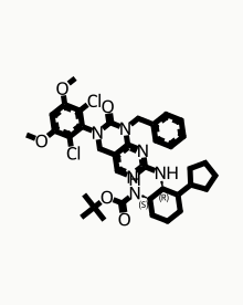 COc1cc(OC)c(Cl)c(N2Cc3cnc(N[C@@H]4C(C5CCCC5)CCC[C@@H]4NC(=O)OC(C)(C)C)nc3N(Cc3ccccc3)C2=O)c1Cl